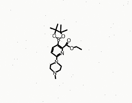 CCOC(=O)c1nc(N2CCN(C)CC2)ccc1B1OC(C)(C)C(C)(C)O1